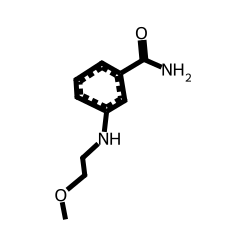 COCCNc1cccc(C(N)=O)c1